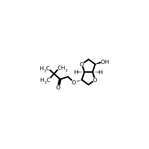 CC(C)(C)C(=O)CO[C@H]1CO[C@H]2[C@@H]1OC[C@H]2O